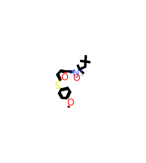 COc1ccc(Sc2ccc(C=[N+]([O-])C(C)(C)CC(C)(C)C)o2)cc1